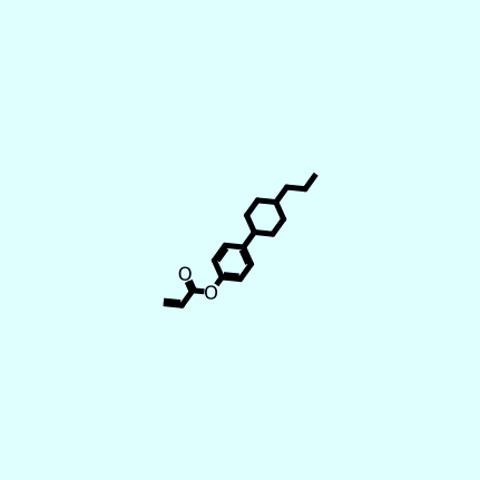 C=CC(=O)Oc1ccc(C2CCC(CCC)CC2)cc1